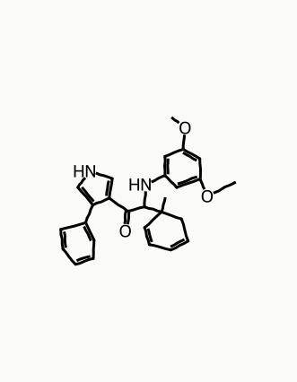 COc1cc(NC(C(=O)c2c[nH]cc2-c2ccccc2)C2(C)C=CC=CC2)cc(OC)c1